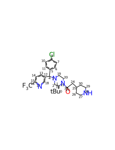 CC(C)(C)[C@H]1CN(C(c2ccc(Cl)cc2)c2ccc(C(F)(F)F)nc2)CCN1C(=O)CC1CCNCC1